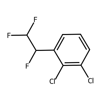 FC(F)C(F)c1cccc(Cl)c1Cl